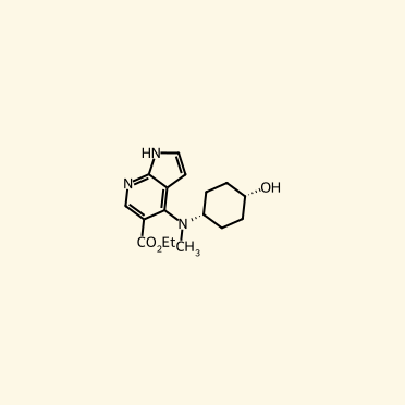 CCOC(=O)c1cnc2[nH]ccc2c1N(C)[C@H]1CC[C@@H](O)CC1